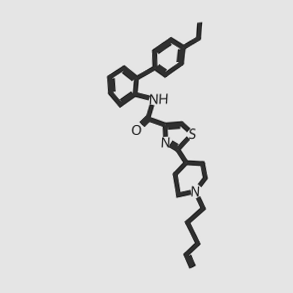 C=CCCCN1CCC(c2nc(C(=O)Nc3ccccc3-c3ccc(CC)cc3)cs2)CC1